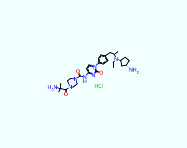 CCN(C(C)Cc1ccc(-n2ccc(NC(=O)N3CCN(C(=O)C(C)(C)N)CC3)nc2=O)cc1)[C@H]1CC[C@H](N)C1.Cl